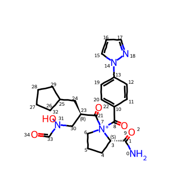 NC(=O)[C@@H]1CCC[N+]1(C(=O)c1ccc(-n2cccn2)cc1)C(=O)[C@H](CC1CCCC1)CN(O)C=O